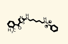 Cc1ccccc1C(=O)c1cnc(NCCCCCNS(=O)(=O)c2ccccc2)s1